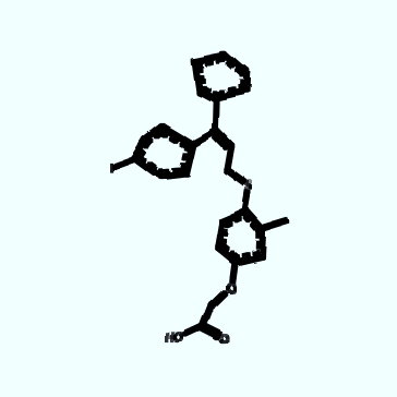 Cc1cc(OCC(=O)O)ccc1SCC=C(c1ccccc1)c1ccc(I)cc1